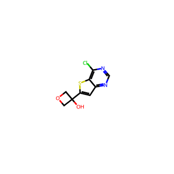 OC1(c2cc3ncnc(Cl)c3s2)COC1